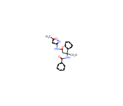 Cc1cc(NC(=O)CC(NC(=O)c2ccccc2)(C(=O)O)c2ccccc2)no1